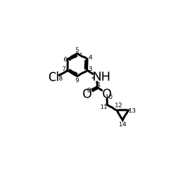 O=C(Nc1c[c]cc(Cl)c1)OCC1CC1